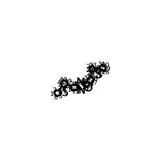 c1ccc2c(c1)sc1c(-c3ccc4nc5oc6ccc(-c7cccc8c7sc7ccccc78)cc6c5nc4c3)cccc12